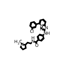 CN1CCCC1CCNC(=O)c1ccc(Nc2nc3cccc(-c4cccc(Cl)c4)n3n2)cc1